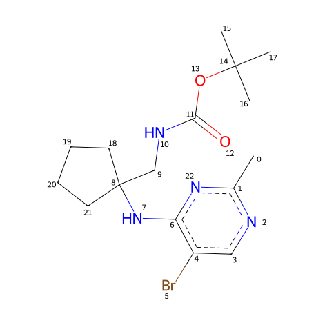 Cc1ncc(Br)c(NC2(CNC(=O)OC(C)(C)C)CCCC2)n1